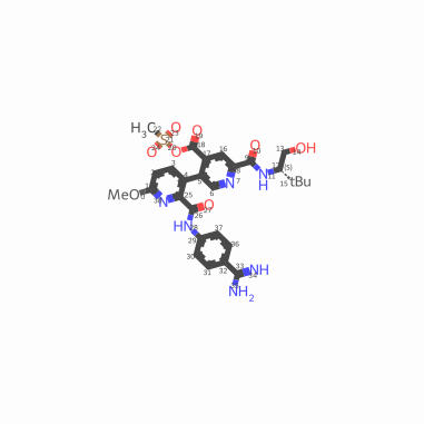 COc1ccc(-c2cnc(C(=O)N[C@H](CO)C(C)(C)C)cc2C(=O)OS(C)(=O)=O)c(C(=O)Nc2ccc(C(=N)N)cc2)n1